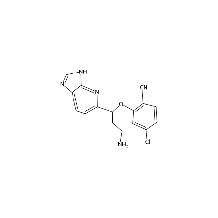 N#Cc1ccc(Cl)cc1OC(CCN)c1ccc2nc[nH]c2n1